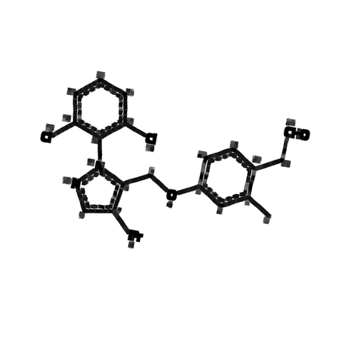 Cc1cc(OCc2c(C(C)C)cnn2-c2c(Cl)cccc2Cl)ccc1CC=O